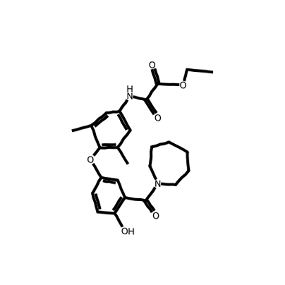 CCOC(=O)C(=O)Nc1cc(C)c(Oc2ccc(O)c(C(=O)N3CCCCCC3)c2)c(C)c1